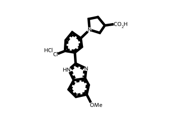 COc1ccc2[nH]c(-c3cc(N4CCC(C(=O)O)C4)ccc3Cl)nc2c1.Cl